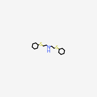 C1CCC(SCCNCCSC2CCCCC2)CC1